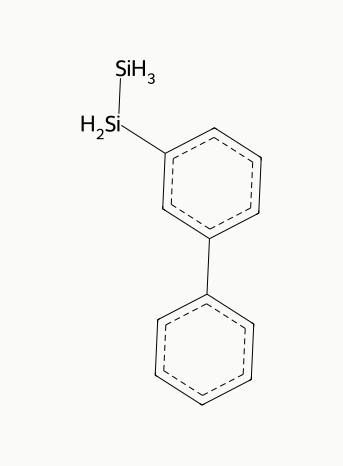 [SiH3][SiH2]c1cccc(-c2ccccc2)c1